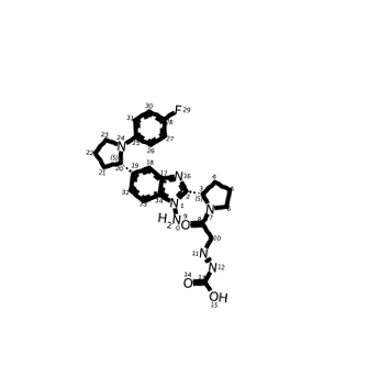 Nn1c([C@@H]2CCCN2C(=O)CN=NC(=O)O)nc2cc([C@@H]3CCCN3c3ccc(F)cc3)ccc21